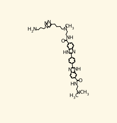 CN(C)CCNC(=O)c1ccc2nc(-c3ccc(-c4nc5ccc(C(=O)NCCN(C)CCCCc6cn(CCCN)nn6)cc5[nH]4)cc3)[nH]c2c1